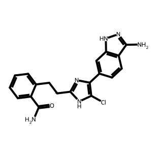 NC(=O)c1ccccc1C[CH]c1nc(-c2ccc3c(N)n[nH]c3c2)c(Cl)[nH]1